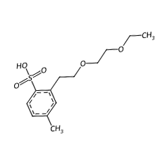 CCOCCOCCc1cc(C)ccc1S(=O)(=O)O